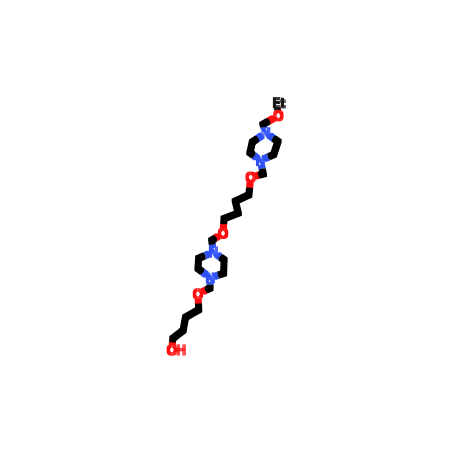 CCOCN1CCN(COCCCCOCN2CCN(COCCCCO)CC2)CC1